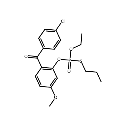 CCCSP(=O)(OCC)Oc1cc(OC)ccc1C(=O)c1ccc(Cl)cc1